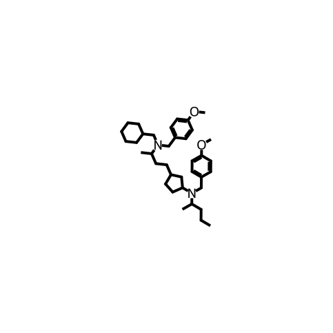 CCCC(C)N(Cc1ccc(OC)cc1)C1CCC(CCC(C)N(Cc2ccc(OC)cc2)CC2CCCCC2)C1